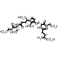 CCCCCc1c(SC[C@@H](NC(=O)CC[C@H](N)C(=O)O)C(=O)NCC(=O)O)ccn1[C@@H](CCC(=O)N[C@H](CS)C(=O)NCC(=O)O)C(=O)O